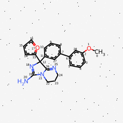 COc1cccc(-c2cccc(C3(c4ccco4)N=C(N)N4CCCN=C43)c2)c1